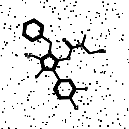 Cc1c(-c2ccc(Cl)c(F)c2)c(OC(=O)N(C)CC(C)(C)C)n(Cc2ccccc2)c1C(F)(F)F